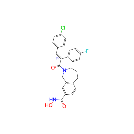 O=C(NO)c1ccc2c(c1)CN(C(=O)/C(=C/c1ccc(Cl)cc1)c1ccc(F)cc1)CCC2